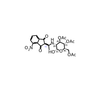 CC(=O)OC[C@H]1O[C@H](O)[C@H](N/C(C)=C2\C(=O)c3cccc([N+](=O)[O-])c3C2=O)[C@@H](OC(C)=O)[C@@H]1OC(C)=O